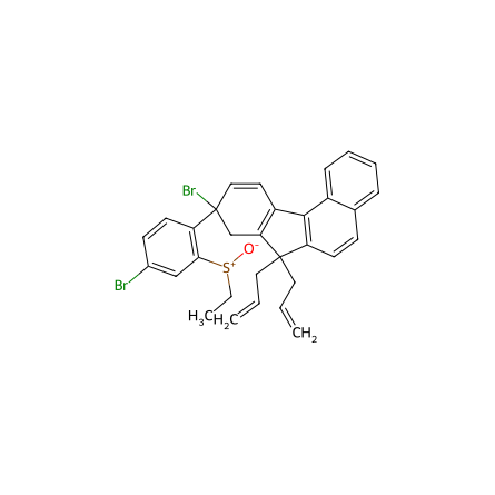 C=CCC1(CC=C)C2=C(C=CC(Br)(c3ccc(Br)cc3[S+]([O-])CC)C2)c2c1ccc1ccccc21